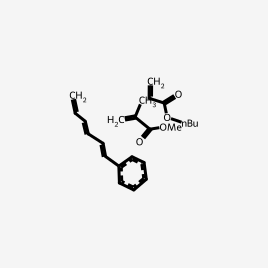 C=C(C)C(=O)OC.C=CC(=O)OCCCC.C=CC=CC=Cc1ccccc1